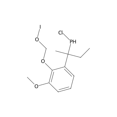 CCC(C)(PCl)c1cccc(OC)c1OCOI